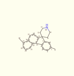 Cc1ccc2c(c1)C1(CCNCC1)c1ccc3c(C)cccc3c1-2